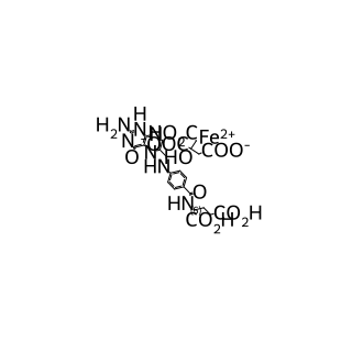 Nc1nc(=O)c2nc(CNc3ccc(C(=O)N[C@@H](CCC(=O)O)C(=O)O)cc3)cnc2[nH]1.O=C([O-])CC(O)(CC(=O)O)C(=O)[O-].[Fe+2]